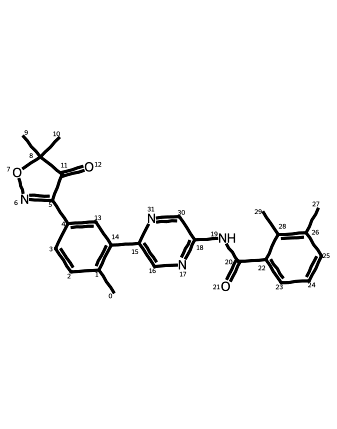 Cc1ccc(C2=NOC(C)(C)C2=O)cc1-c1cnc(NC(=O)c2cccc(C)c2C)cn1